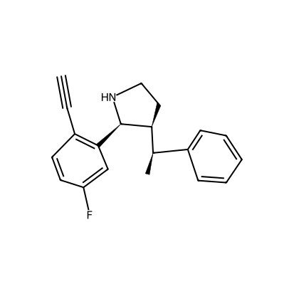 C#Cc1ccc(F)cc1[C@H]1NCC[C@H]1[C@H](C)c1ccccc1